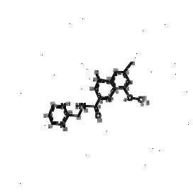 Cc1cc(OC(F)(F)F)c2nc(C(=O)NCc3ncccn3)cc(C)c2c1